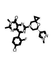 Cc1nc2c(-c3ccc(Cl)cc3F)nc(N3C[C@@H](c4cnn(C)c4)OC4(CC4)C3)nc2c(=O)n1C